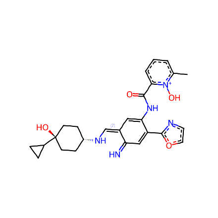 Cc1cccc(C(=O)NC2=C/C(=C/N[C@H]3CC[C@@](O)(C4CC4)CC3)C(=N)C=C2c2ncco2)[n+]1O